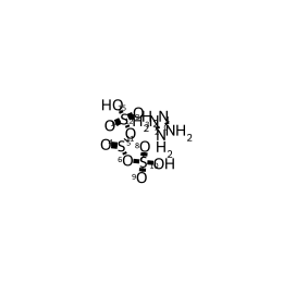 NN.NN.O=S(OS(=O)(=O)O)OS(=O)(=O)O